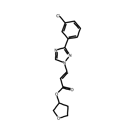 O=C(C=Cn1cnc(-c2cccc(Cl)c2)n1)OC1CCOC1